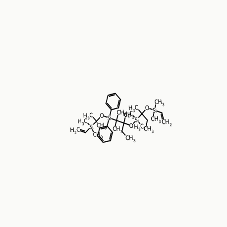 C=C[Si](C)(C)OC(C)(CC)[Si](C)(C)OC(C)(CC)C(C)(C)[Si](OC(C)(C)[Si](C)(C)C=C)(c1ccccc1)c1ccccc1